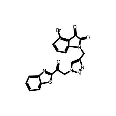 O=C(Cn1cc(CN2C(=O)C(=O)c3c(Br)cccc32)nn1)c1nc2ccccc2s1